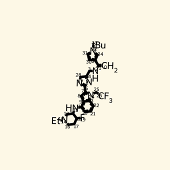 C=C(NCC1=NC(c2cc3c(NC4CN(CC)CCC4F)cccc3n2CC(F)(F)F)=NC1)c1ccn(C(C)(C)C)c1